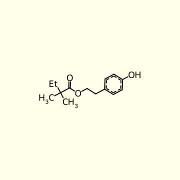 CCC(C)(C)C(=O)OCCc1ccc(O)cc1